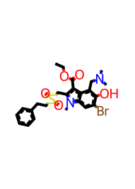 CCOC(=O)c1c(CS(=O)(=O)CCc2ccccc2)n(C)c2cc(Br)c(O)c(CN(C)C)c12